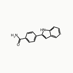 NC(=O)c1ccc(-c2cc3c[c]ccc3[nH]2)cc1